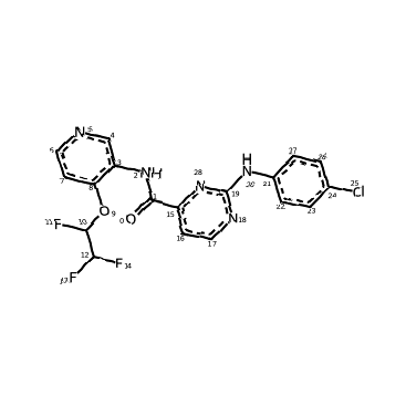 O=C(Nc1cnccc1OC(F)C(F)F)c1ccnc(Nc2ccc(Cl)cc2)n1